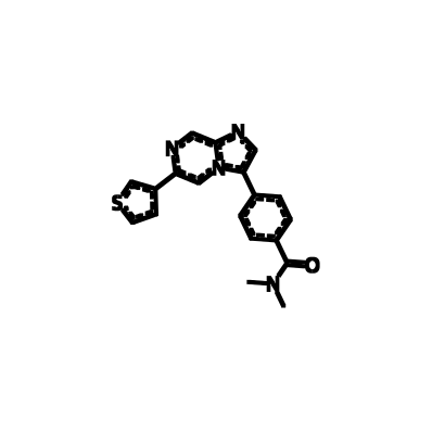 CN(C)C(=O)c1ccc(-c2cnc3cnc(-c4ccsc4)cn23)cc1